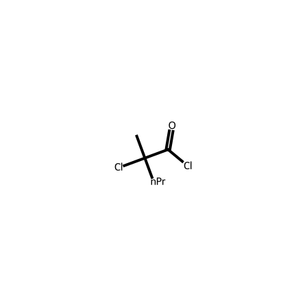 CCCC(C)(Cl)C(=O)Cl